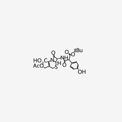 CC(=O)OCC1=C(C(=O)O)N2C(=O)[C@@H](NC(=O)C(C(=O)OC(C)(C)C)c3ccc(O)cc3)[C@H]2SC1